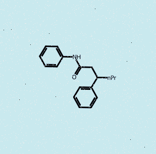 CCCC(CC(=O)Nc1ccccc1)c1ccccc1